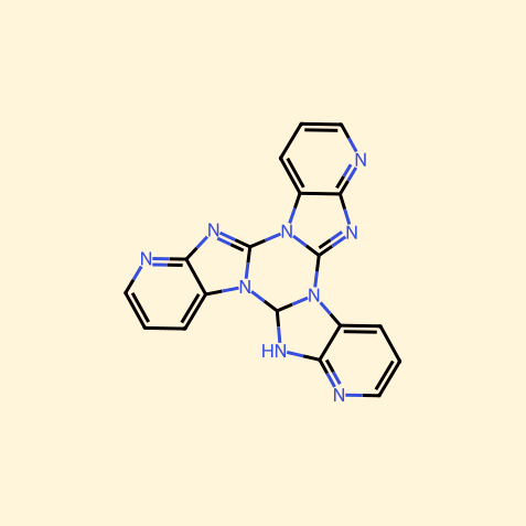 c1cnc2c(c1)N1c3nc4ncccc4n3-c3nc4ncccc4n3C1N2